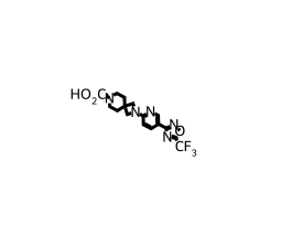 O=C(O)N1CCC2(CC1)CN(c1ccc(-c3noc(C(F)(F)F)n3)cn1)C2